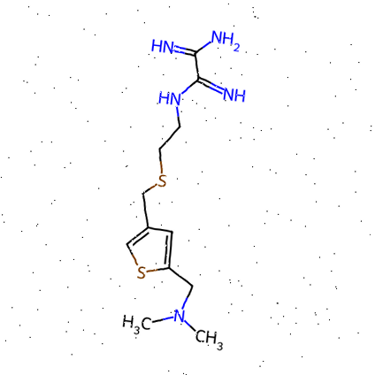 CN(C)Cc1cc(CSCCNC(=N)C(=N)N)cs1